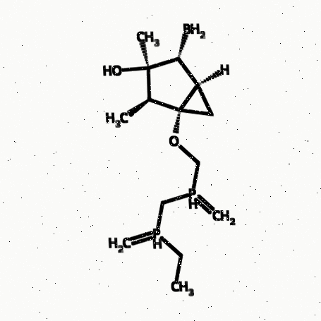 B[C@@H]1[C@H]2C[C@@]2(OC[PH](=C)C[PH](=C)CC)[C@@H](C)[C@@]1(C)O